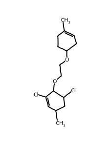 CC1=CCC(OCCOC2C(Cl)=CC(C)CC2Cl)CC1